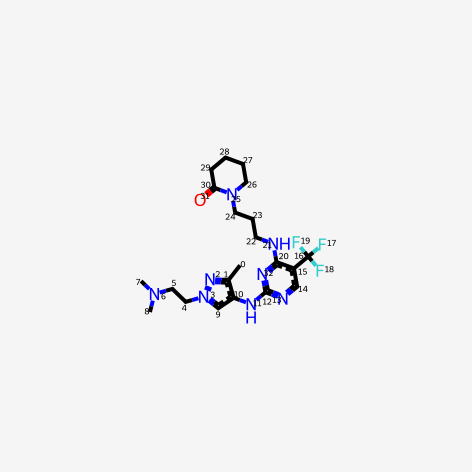 Cc1nn(CCN(C)C)cc1Nc1ncc(C(F)(F)F)c(NCCCN2CCCCC2=O)n1